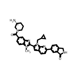 Cn1c(-c2cc3ccc(-c4ccc5c(c4)C(=O)NC5)nc3n2CC2CC2)nc2cc(C(=O)N3CCC[C@@H](N)C3)ccc21